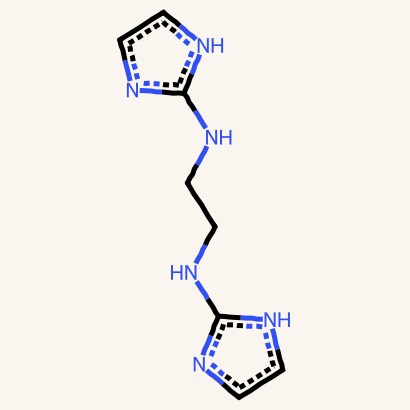 c1c[nH]c(NCCNc2ncc[nH]2)n1